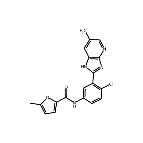 Cc1ccc(C(=O)Nc2ccc(Cl)c(-c3nc4ncc(C(F)(F)F)cc4[nH]3)c2)o1